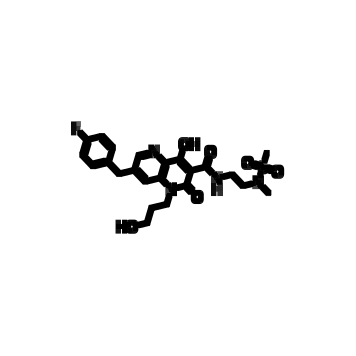 CN(CCNC(=O)c1c(O)c2ncc(Cc3ccc(F)cc3)cc2n(CCCO)c1=O)S(C)(=O)=O